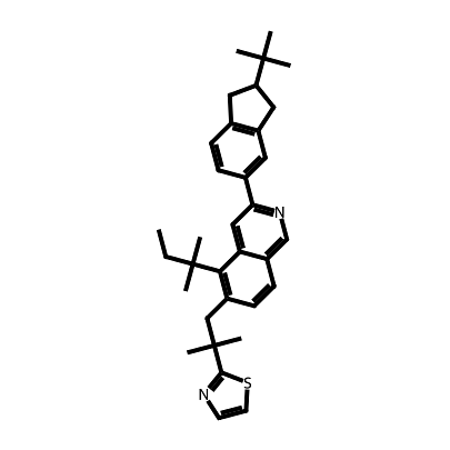 CCC(C)(C)c1c(CC(C)(C)c2nccs2)ccc2cnc(-c3ccc4c(c3)CC(C(C)(C)C)C4)cc12